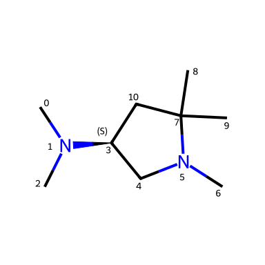 CN(C)[C@@H]1CN(C)C(C)(C)C1